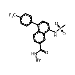 CC(C)NC(=O)c1ccc2c(-c3ccc(C(F)(F)F)cc3)ccc(NS(C)(=O)=O)c2c1